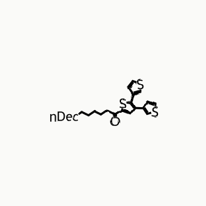 CCCCCCCCCCCCCCCC(=O)c1cc(-c2ccsc2)c(-c2ccsc2)s1